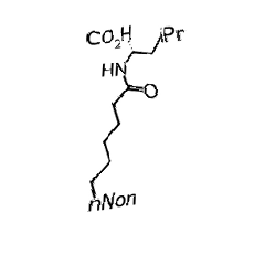 CCCCCCCCCCCCCCC(=O)N[C@@H](CC(C)C)C(=O)O